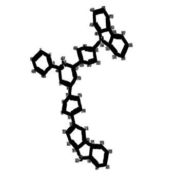 c1ccc(-c2cc(-c3ccc(-c4ccc5sc6ccccc6c5c4)cc3)cc(-c3ccc(-n4c5ccccc5c5ccccc54)cc3)n2)cc1